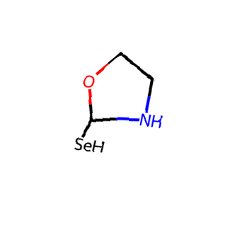 [SeH]C1NCCO1